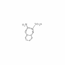 O=[N+]([O-])c1cc2ccccc2cc1S(=O)(=O)O